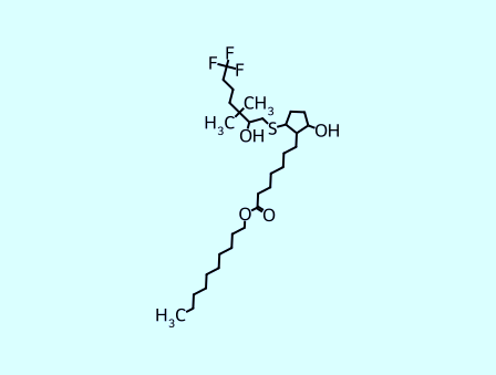 CCCCCCCCCCOC(=O)CCCCCCC1C(O)CCC1SCC(O)C(C)(C)CCCC(F)(F)F